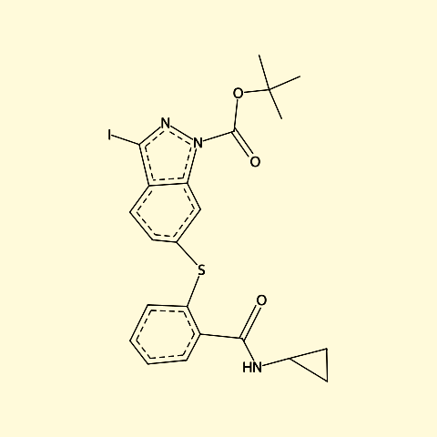 CC(C)(C)OC(=O)n1nc(I)c2ccc(Sc3ccccc3C(=O)NC3CC3)cc21